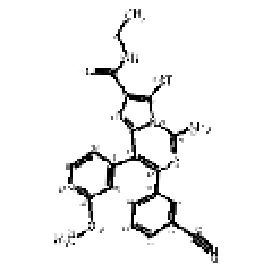 CCNC(=O)c1nc2c(-c3ccnc(OC)c3)c(-c3cccc(C#N)c3)nc(N)n2c1Br